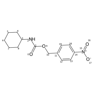 O=C(NC1CCCCC1)OCc1ccc([N+](=O)[O-])cc1